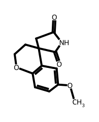 COc1ccc2c(c1)C1(CCO2)CC(=O)NC1=O